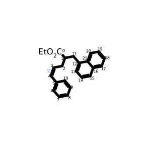 CCOC(=O)C(C/C=C\c1ccccc1)Cc1cccc2ccccc12